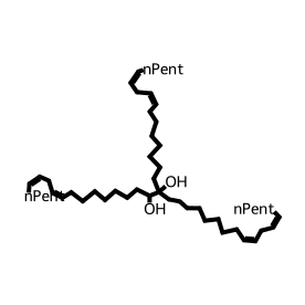 CCCCC/C=C\C/C=C\CCCCCCCCC(O)(CCCCCCC/C=C\C/C=C\CCCCC)C(O)CCCCCCC/C=C\C/C=C\CCCCC